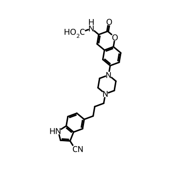 N#Cc1c[nH]c2ccc(CCCN3CCN(c4ccc5oc(=O)c(NC(=O)O)cc5c4)CC3)cc12